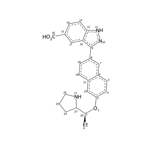 CC[C@H](Oc1ccc2cc(-c3n[nH]c4ccc(C(=O)O)cc34)ccc2c1)C1CCCN1